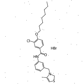 Br.CCCCCCCCOc1ccc(C(=O)Nc2cccc(CN3CSC=C3C)c2)cc1Cl